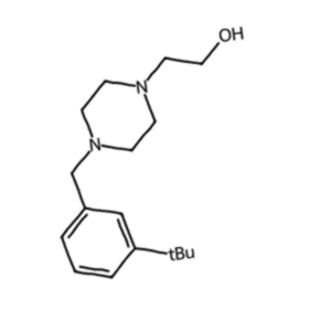 CC(C)(C)c1cccc(CN2CCN(CCO)CC2)c1